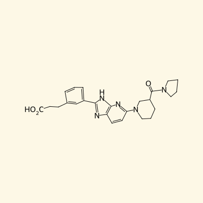 O=C(O)CCc1cccc(-c2nc3ccc(N4CCCC(C(=O)N5CCCC5)C4)nc3[nH]2)c1